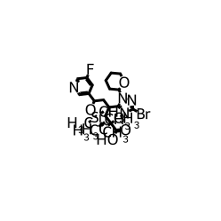 CC(C)(CC(CC(O[Si](C)(C)C(C)(C)C)c1cncc(F)c1)c1nc(Br)nn1C1CCCCO1)C(=O)O